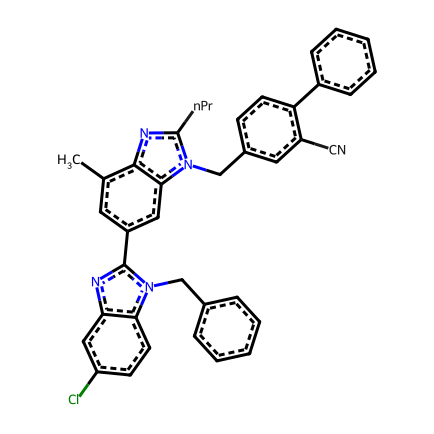 CCCc1nc2c(C)cc(-c3nc4cc(Cl)ccc4n3Cc3ccccc3)cc2n1Cc1ccc(-c2ccccc2)c(C#N)c1